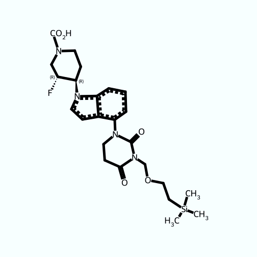 C[Si](C)(C)CCOCN1C(=O)CCN(c2cccc3c2ccn3[C@@H]2CCN(C(=O)O)C[C@H]2F)C1=O